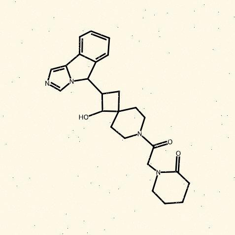 O=C(CN1CCCCC1=O)N1CCC2(CC1)CC(C1c3ccccc3-c3cncn31)C2O